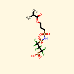 C=C(C)C(=O)OCCCS(=O)(=O)NS(=O)(=O)C(F)(F)C(F)(F)C(F)(F)S(=O)(=O)O